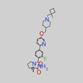 CC1(CN2CCC(COc3ccc(-c4ccc(C(=O)N5CCC[C@@]5(C)C(N)=O)c(F)c4)nc3)CC2)CCC1